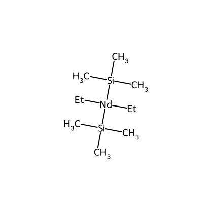 C[CH2][Nd]([CH2]C)([Si](C)(C)C)[Si](C)(C)C